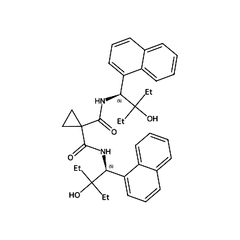 CCC(O)(CC)[C@@H](NC(=O)C1(C(=O)N[C@@H](c2cccc3ccccc23)C(O)(CC)CC)CC1)c1cccc2ccccc12